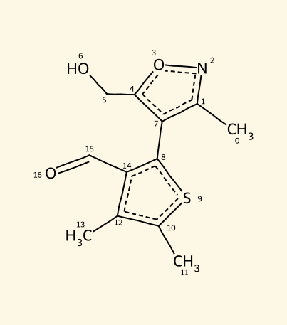 Cc1noc(CO)c1-c1sc(C)c(C)c1C=O